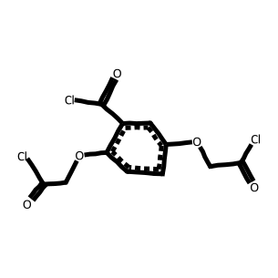 O=C(Cl)COc1ccc(OCC(=O)Cl)c(C(=O)Cl)c1